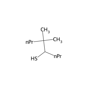 CCCC(S)C(C)(C)CCC